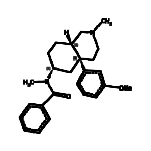 COc1cccc([C@@]23CCN(C)C[C@H]2CC[C@@H](N(C)C(=O)c2ccccc2)C3)c1